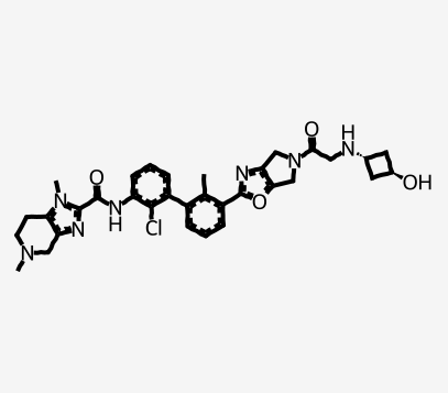 Cc1c(-c2nc3c(o2)CN(C(=O)CN[C@H]2C[C@H](O)C2)C3)cccc1-c1cccc(NC(=O)c2nc3c(n2C)CCN(C)C3)c1Cl